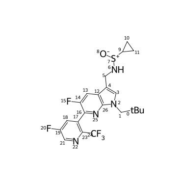 CC(C)(C)Cn1cc(CN[S+]([O-])C2CC2)c2cc(F)c(-c3cc(F)cnc3C(F)(F)F)nc21